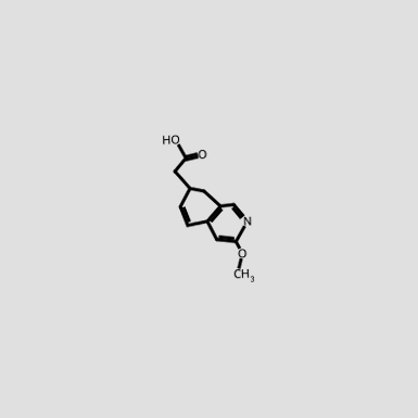 COc1cc2c(cn1)CC(CC(=O)O)C=C2